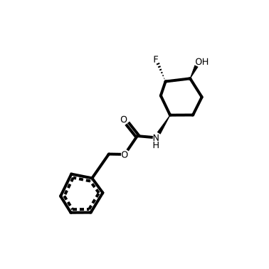 O=C(N[C@@H]1CC[C@H](O)[C@@H](F)C1)OCc1ccccc1